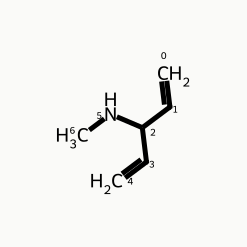 C=CC(C=C)NC